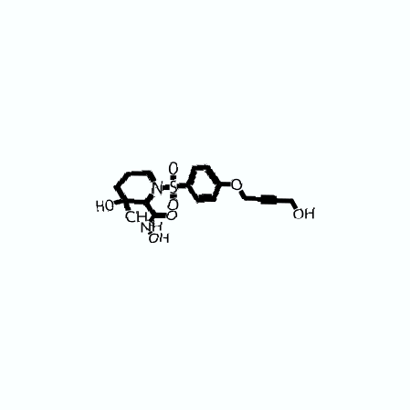 CC1(O)CCCN(S(=O)(=O)c2ccc(OCC#CCO)cc2)C1C(=O)NO